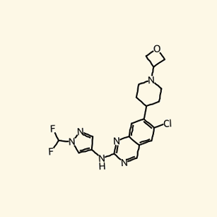 FC(F)n1cc(Nc2ncc3cc(Cl)c(C4CCN(C5COC5)CC4)cc3n2)cn1